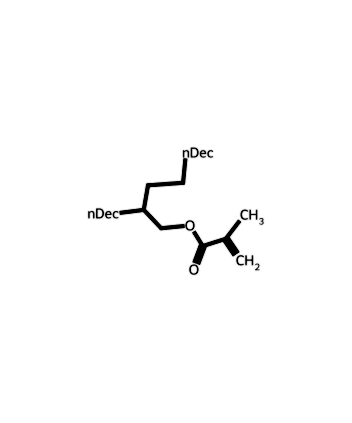 C=C(C)C(=O)OCC(CCCCCCCCCC)CCCCCCCCCCCC